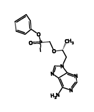 C[C@H](Cn1cnc2c(N)ncnc21)OCP(=O)(I)Oc1ccccc1